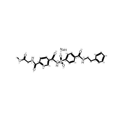 COC(=O)CNC(=O)c1ccc(C(=O)NS(=O)(=O)c2ccc(C(=O)NCCc3ccccc3)cc2)cn1.[NaH]